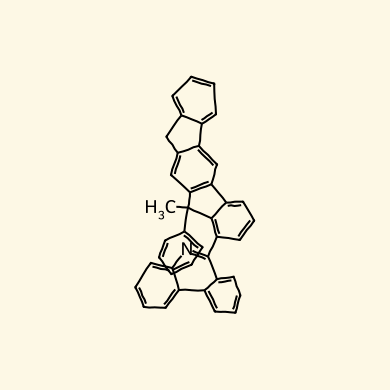 CC1(c2ccccc2)c2cc3c(cc2-c2cccc(-c4nc5ccccc5c5ccccc45)c21)-c1ccccc1C3